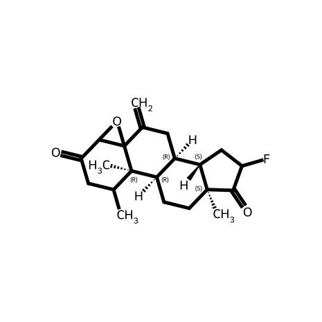 C=C1C[C@@H]2[C@@H](CC[C@]3(C)C(=O)C(F)C[C@@H]23)[C@@]2(C)C(C)CC(=O)C3OC132